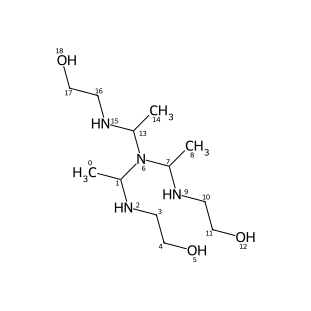 CC(NCCO)N(C(C)NCCO)C(C)NCCO